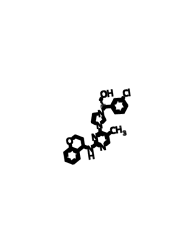 Cc1cnc(NC2CCOc3ccccc32)nc1N1C=CN([C@H](CO)c2cccc(Cl)c2)C1